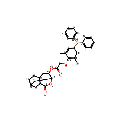 CC1=CC([SH](c2ccccc2)c2ccccc2)CC(C)=C1OCC(=O)OC1CC2CCC3CC1OC(=O)C2C3